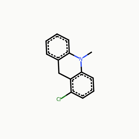 CN1c2ccccc2Cc2c(Cl)cccc21